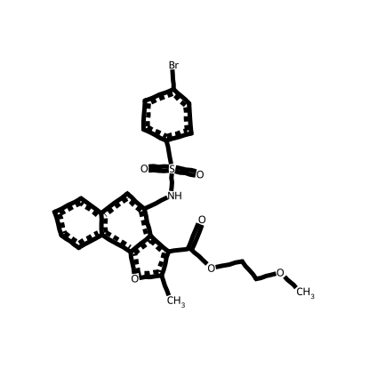 COCCOC(=O)c1c(C)oc2c1c(NS(=O)(=O)c1ccc(Br)cc1)cc1ccccc12